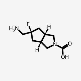 NC[C@@]1(F)C[C@H]2CN(C(=O)O)C[C@H]2C1